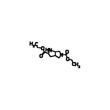 CCOC(=O)C1CC2CN(C(=O)OCC)CC2N1